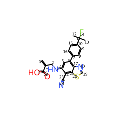 C=C(CNc1cc(-c2ccc(C(C)(C)F)cc2)c2ncsc2c1C#N)C(=O)O